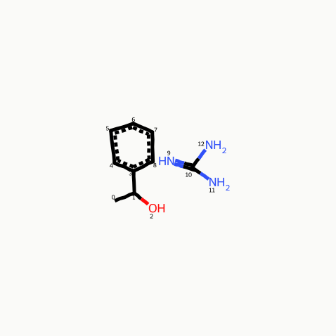 CC(O)c1ccccc1.N=C(N)N